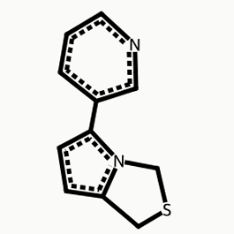 c1cncc(-c2ccc3n2CSC3)c1